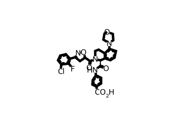 O=C(O)c1ccc(NC(=O)[C@@H]2c3cccc(N4CCOCC4)c3CCN2C(=O)C2CC(c3cccc(Cl)c3F)=NO2)cc1